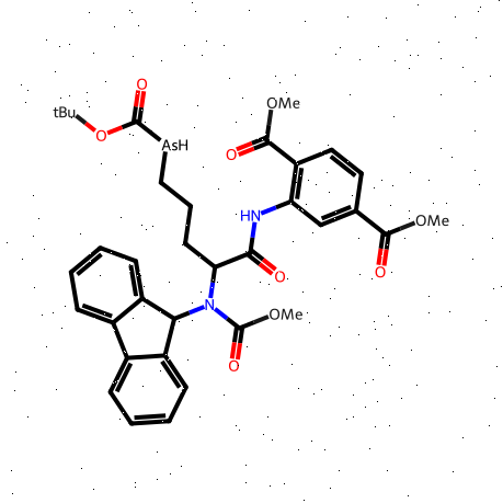 COC(=O)c1ccc(C(=O)OC)c(NC(=O)C(CCC[AsH]C(=O)OC(C)(C)C)N(C(=O)OC)C2c3ccccc3-c3ccccc32)c1